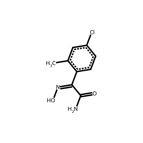 Cc1cc(Cl)ccc1C(=NO)C(N)=O